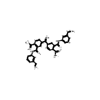 C=Cc1cccc(NC(=O)c2cc(C(=N)c3ccc(C(N)=O)c(C(=O)Nc4cccc(C=C)c4)c3)ccc2C(N)=O)c1